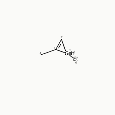 C[CH2][GeH]1[CH]=[C]1C